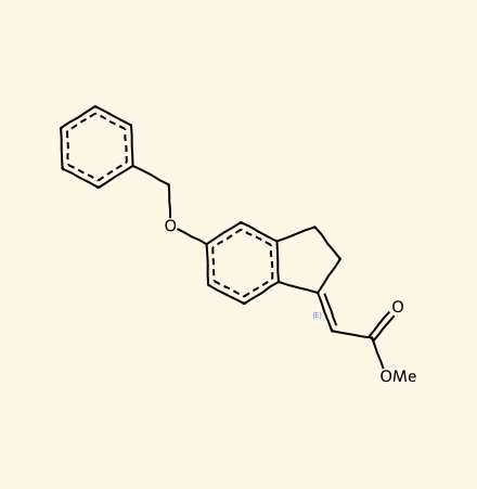 COC(=O)/C=C1\CCc2cc(OCc3ccccc3)ccc21